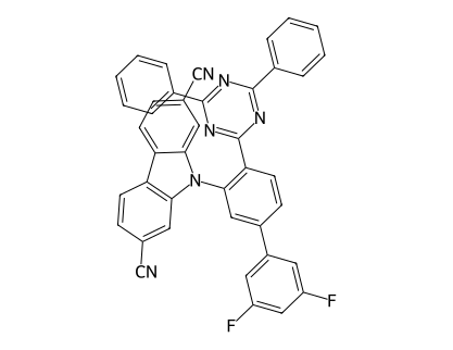 N#Cc1ccc2c3ccc(C#N)cc3n(-c3cc(-c4cc(F)cc(F)c4)ccc3-c3nc(-c4ccccc4)nc(-c4ccccc4)n3)c2c1